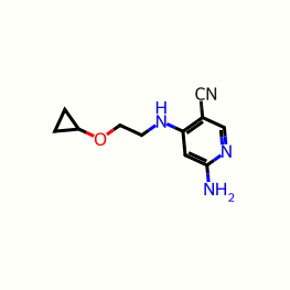 N#Cc1cnc(N)cc1NCCOC1CC1